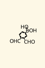 O=Cc1ccc(B(O)O)cc1C=O